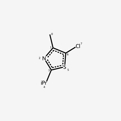 Cc1nc(C(C)C)sc1Cl